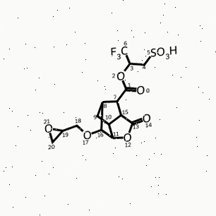 O=C(OC(CS(=O)(=O)O)C(F)(F)F)C1C2CC3C(OC(=O)C31)C2OCC1CO1